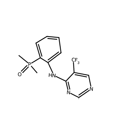 CP(C)(=O)c1ccccc1Nc1n[c]ncc1C(F)(F)F